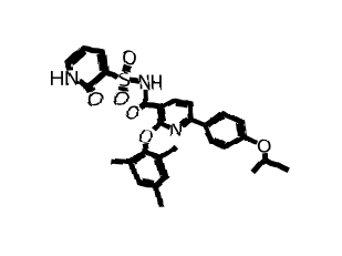 Cc1cc(C)c(Oc2nc(-c3ccc(OC(C)C)cc3)ccc2C(=O)NS(=O)(=O)c2ccc[nH]c2=O)c(C)c1